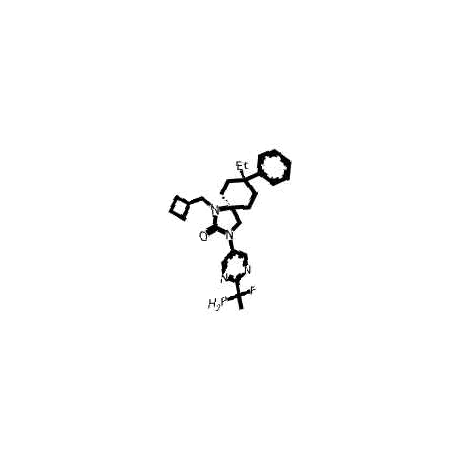 CC[C@]1(c2ccccc2)CC[C@]2(CC1)CN(c1cnc(C(C)(F)P)nc1)C(=O)N2CC1CCC1